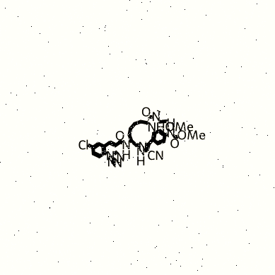 COCCN(C)C(=O)[C@H]1CCCC[C@H](NC(=O)/C=C/c2cc(Cl)ccc2-n2cnnn2)c2nc(c(C#N)[nH]2)-c2ccc(NC(=O)OC)cc2N1